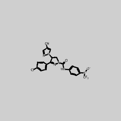 N#Cc1cnn(C2CN(C(=O)Nc3ccc([S+]([O-])C(F)(F)F)cc3)N=C2c2ccc(Cl)cc2)c1